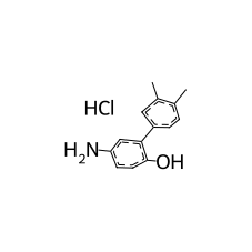 Cc1ccc(-c2cc(N)ccc2O)cc1C.Cl